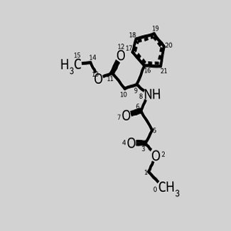 CCOC(=O)CC(=O)NC(CC(=O)OCC)c1ccccc1